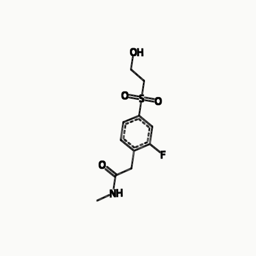 CNC(=O)Cc1ccc(S(=O)(=O)CCO)cc1F